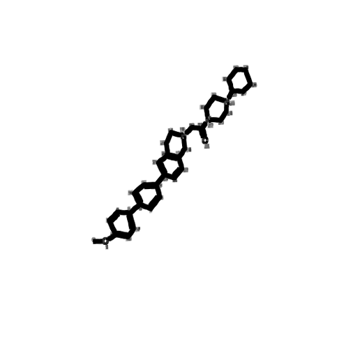 COc1ccc(-c2ccc(-c3ccc4c(c3)CCN(CC(=O)N3CCN(C5CCCCC5)CC3)C4)cc2)cc1